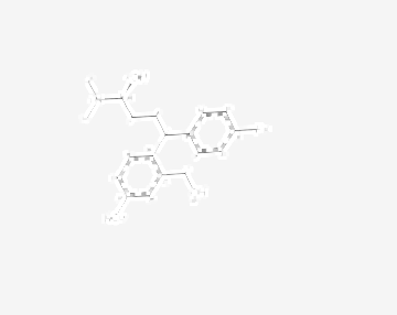 CN(C)[C@@H](O)CCC(c1ccc(F)cc1)c1ccc(C#N)cc1CO